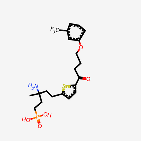 CC(N)(CCc1ccc(C(=O)CCCOc2cccc(C(F)(F)F)c2)s1)CCP(=O)(O)O